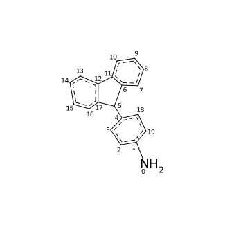 Nc1ccc(C2c3ccccc3-c3ccccc32)cc1